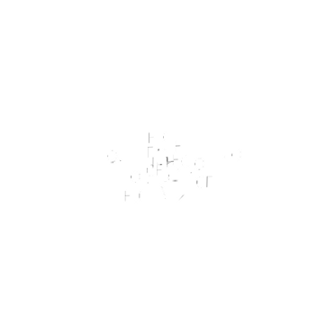 FC(F)(F)C(F)(F)C(F)(F)c1c(C(OCC2CO2)(C(F)(F)F)C(F)(F)F)cccc1C(OCC1CO1)(C(F)(F)F)C(F)(F)F